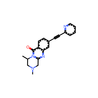 CC1CN(C)Cc2nc3cc(C#Cc4ccccn4)ccc3c(=O)n21